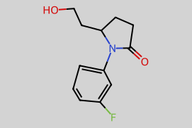 O=C1CCC(CCO)N1c1cccc(F)c1